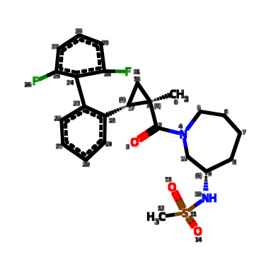 C[C@@]1(C(=O)N2CCCC[C@H](NS(C)(=O)=O)C2)C[C@H]1c1ccccc1-c1c(F)cccc1F